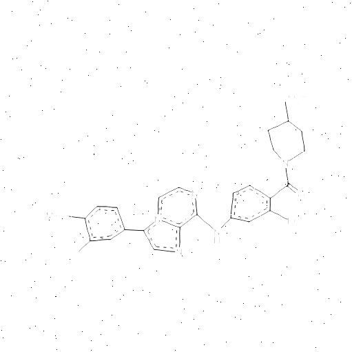 CCc1cc(Nc2nccn3c(-c4ccc(OC)c(F)c4)cnc23)ccc1C(=O)N1CCC(C(=O)O)CC1